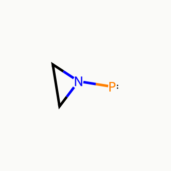 [P]N1CC1